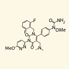 COc1ccc(-n2c(=O)c(CN(C)C)c(-c3ccc(N(OC)C(N)=O)cc3)n(Cc3c(F)cccc3F)c2=O)nn1